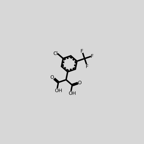 O=C(O)C(C(=O)O)c1cc(Cl)cc(C(F)(F)F)c1